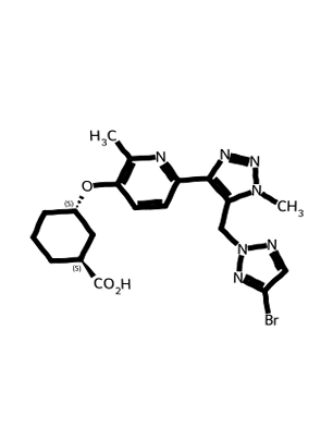 Cc1nc(-c2nnn(C)c2Cn2ncc(Br)n2)ccc1O[C@H]1CCC[C@H](C(=O)O)C1